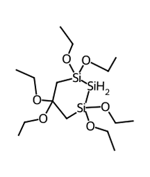 CCOC1(OCC)C[Si](OCC)(OCC)[SiH2][Si](OCC)(OCC)C1